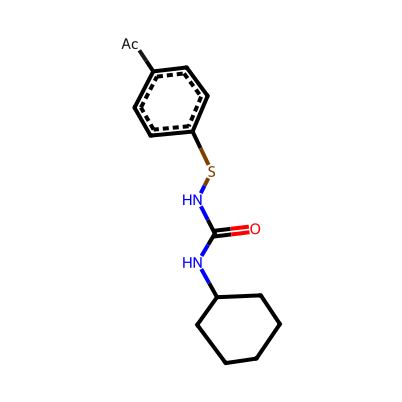 CC(=O)c1ccc(SNC(=O)NC2CCCCC2)cc1